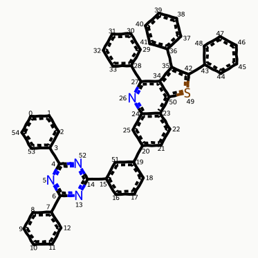 c1ccc(-c2nc(-c3ccccc3)nc(-c3cccc(-c4ccc5c(c4)nc(-c4ccccc4)c4c(-c6ccccc6)c(-c6ccccc6)sc45)c3)n2)cc1